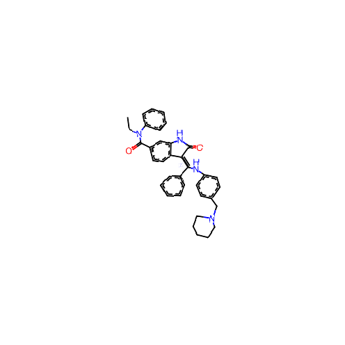 CCN(C(=O)c1ccc2c(c1)NC(=O)/C2=C(\Nc1ccc(CN2CCCCC2)cc1)c1ccccc1)c1ccccc1